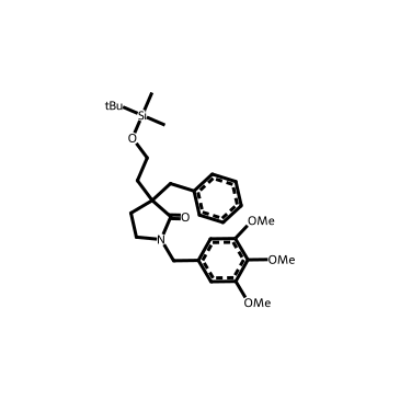 COc1cc(CN2CCC(CCO[Si](C)(C)C(C)(C)C)(Cc3ccccc3)C2=O)cc(OC)c1OC